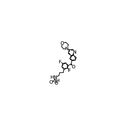 O=C(c1ccc2ncc(N3CCOCC3)cc2c1)c1cc(F)cc(CCCN[SH](=O)=O)c1F